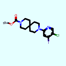 CC(C)(C)OC(=O)N1CCC2(CC1)CCN(c1cc(I)c(Cl)cn1)CC2